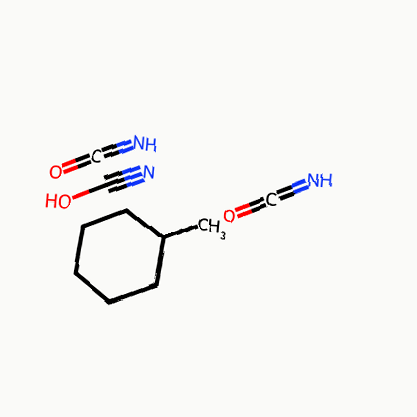 CC1CCCCC1.N#CO.N=C=O.N=C=O